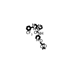 CC1(C)OCC(COc2cc(NC(=O)N3c4nc(-c5cccc(C(F)(F)F)c5)ncc4N4CCC3C4)ccn2)O1